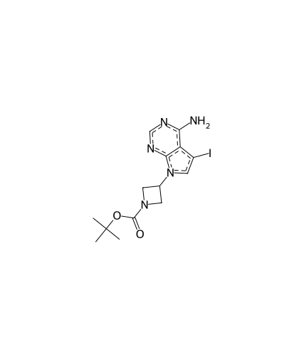 CC(C)(C)OC(=O)N1CC(n2cc(I)c3c(N)ncnc32)C1